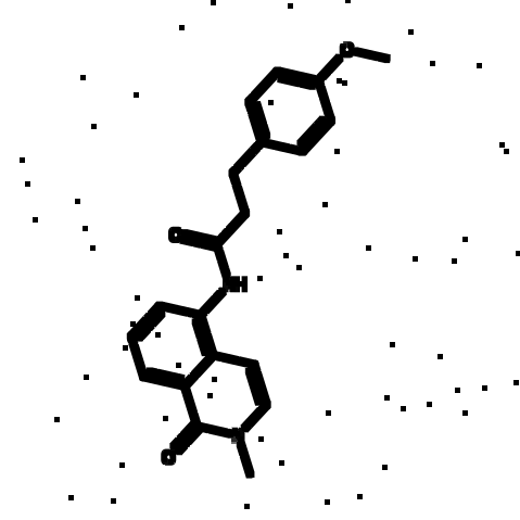 COc1ccc(CCC(=O)Nc2cccc3c(=O)n(C)ccc23)cc1